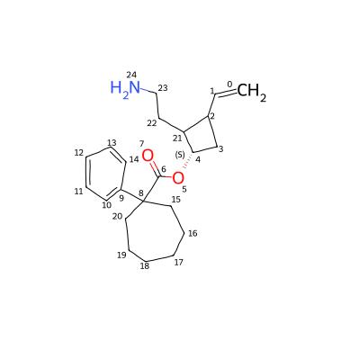 C=CC1C[C@H](OC(=O)C2(c3ccccc3)CCCCCC2)C1CCN